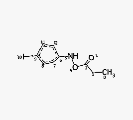 CCC(=O)ONc1ccc(I)cc1